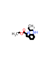 CCOC(=O)c1cc2cccc3c2n1C(CC)CN3